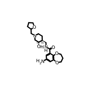 Nc1cc2c(c(C(=O)NC[C@@H]3CCN(CC4CCCO4)C[C@H]3O)c1)OCCCO2